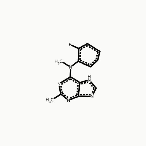 Cc1nc(N(C)c2ccccc2F)c2[nH]cnc2n1